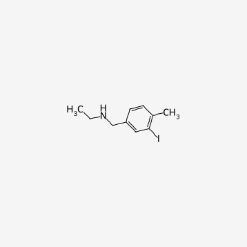 CCNCc1ccc(C)c(I)c1